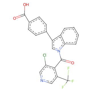 O=C(O)c1ccc(-c2cn(C(=O)c3c(Cl)cncc3C(F)(F)F)c3ccccc23)cc1